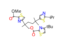 COC(=O)c1nc(C(C)(CCC(C)(C)c2cnc(C(C)C)s2)COC(=O)c2nc(C(C)(C)C)cs2)cs1